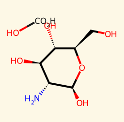 N[C@@H]1[C@@H](O)[C@H](O)[C@@H](CO)O[C@H]1O.O=C(O)O